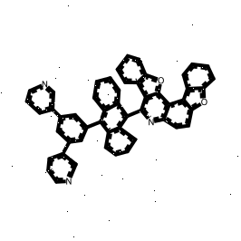 c1cncc(-c2cc(-c3cccnc3)cc(-c3c4ccccc4c(-c4nc5ccc6oc7ccccc7c6c5c5oc6ccccc6c45)c4ccccc34)c2)c1